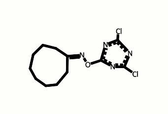 Clc1nc(Cl)nc(ON=C2CCCCCCCC2)n1